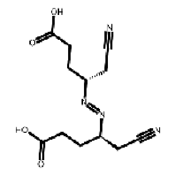 N#CC[C@@H](CCC(=O)O)N=N[C@@H](CC#N)CCC(=O)O